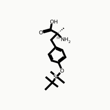 CC(C)(C)[Si](C)(C)Oc1ccc(C[C@](C)(N)C(=O)O)cc1